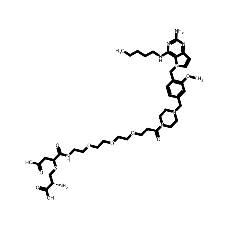 CCCCCNc1nc(N)nc2ccn(Cc3ccc(CN4CCN(C(=O)CCOCCOCCOCCNC(=O)C(CC(=O)O)SC[C@H](N)C(=O)O)CC4)cc3OC)c12